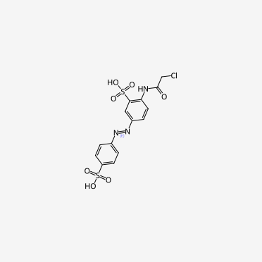 O=C(CCl)Nc1ccc(/N=N/c2ccc(S(=O)(=O)O)cc2)cc1S(=O)(=O)O